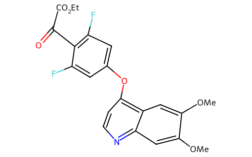 CCOC(=O)C(=O)c1c(F)cc(Oc2ccnc3cc(OC)c(OC)cc23)cc1F